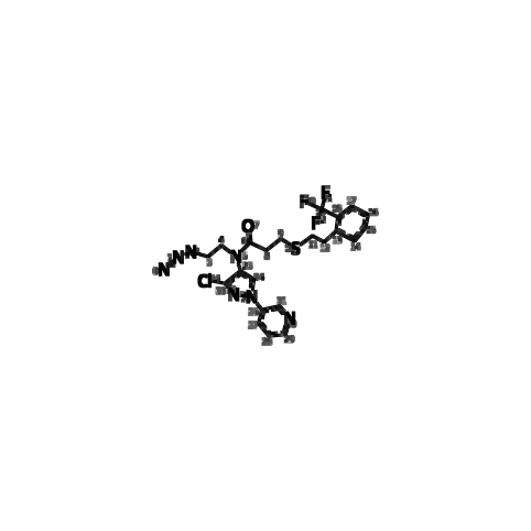 [N-]=[N+]=NCCN(C(=O)CCSCCc1ccccc1C(F)(F)F)c1cn(-c2cccnc2)nc1Cl